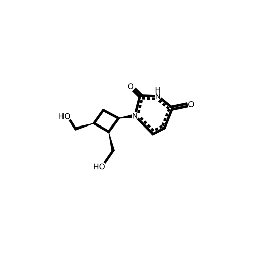 O=c1ccn([C@@H]2C[C@H](CO)[C@@H]2CO)c(=O)[nH]1